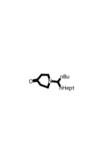 CCCCCCCC(CCCC)N1CCC(=O)CC1